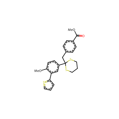 COC(=O)c1ccc(CC2(c3ccc(OC)c(-c4cccs4)c3)SCCCS2)cc1